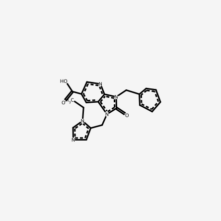 CCn1cncc1Cn1c(=O)n(Cc2ccccc2)c2ncc(C(=O)O)cc21